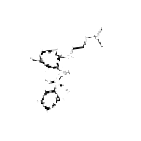 Cc1cnc(OCCCN(C)C)c(NS(=O)(=O)c2ccccc2)c1